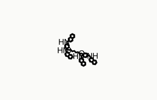 C1=CC(Nc2ccc3ccccc3c2)(OCCCCCCOC2(Nc3ccc4ccccc4c3)C=CC(Nc3ccc4ccccc4c3)=CC2)CC=C1Nc1ccc2ccccc2c1